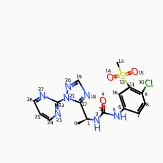 C[C@H](NC(=O)Nc1ccc(Cl)c(S(C)(=O)=O)c1)c1ncnn1-c1ncccn1